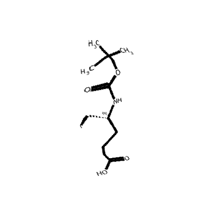 CC(C)(C)OC(=O)N[C@@H](CI)CCC(=O)O